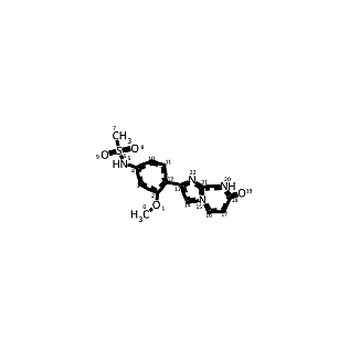 COc1cc(NS(C)(=O)=O)ccc1-c1cn2ccc(=O)[nH]c2n1